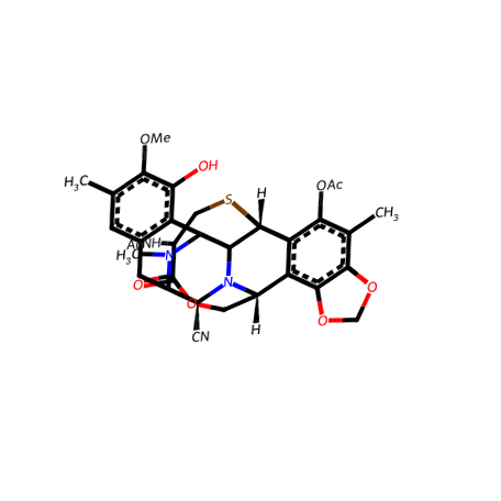 COc1c(C)cc2c(c1O)C1C3[C@@H]4SCC(NC(C)=O)C(=O)OC[C@@H](c5c6c(c(C)c(OC(C)=O)c54)OCO6)N3[C@@H](C#N)C(C2)N1C